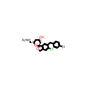 CCc1ccc(Cc2cc3c(cc2Cl)CO[C@@]32C[C@@H](O)C[C@@H](CNC(C)=O)O2)cc1